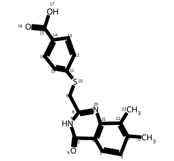 Cc1ccc2c(=O)[nH]c(CSc3ccc(C(=O)O)cc3)nc2c1C